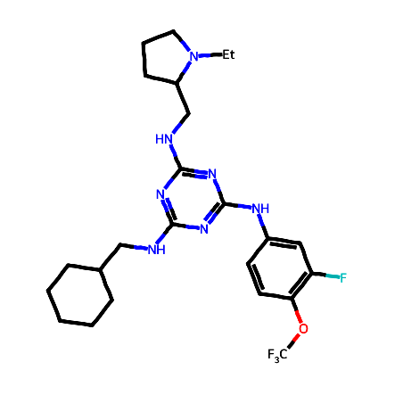 CCN1CCCC1CNc1nc(NCC2CCCCC2)nc(Nc2ccc(OC(F)(F)F)c(F)c2)n1